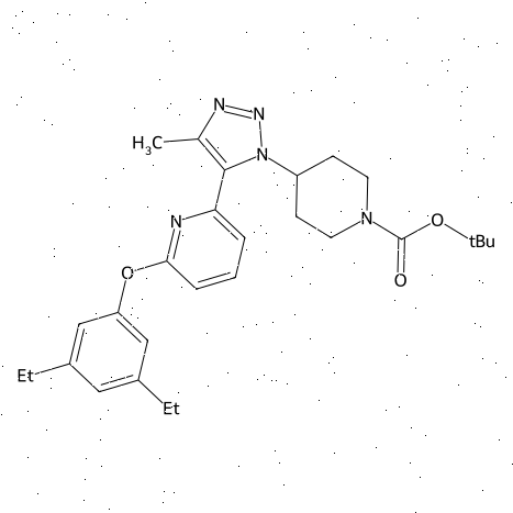 CCc1cc(CC)cc(Oc2cccc(-c3c(C)nnn3C3CCN(C(=O)OC(C)(C)C)CC3)n2)c1